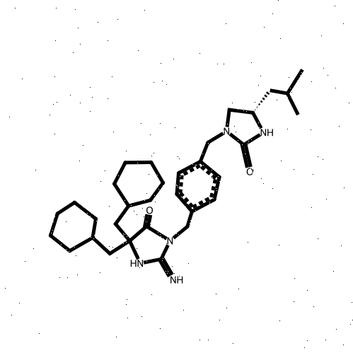 CC(C)C[C@H]1CN(Cc2ccc(CN3C(=N)NC(CC4CCCCC4)(CC4CCCCC4)C3=O)cc2)C(=O)N1